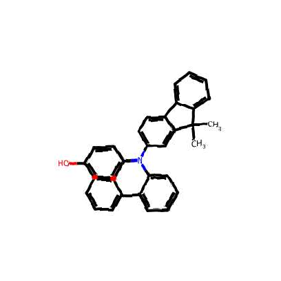 CC1(C)c2ccccc2-c2ccc(N(c3ccc(O)cc3)c3ccccc3-c3ccccc3)cc21